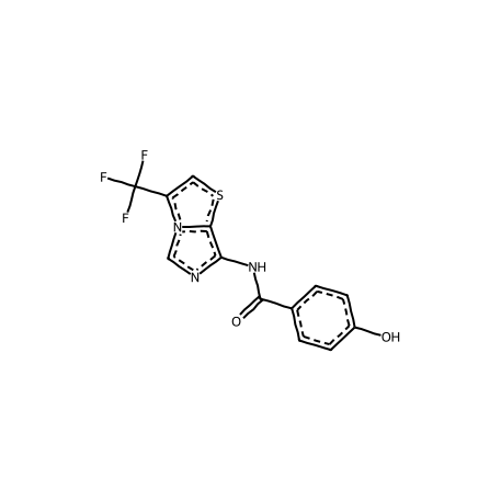 O=C(Nc1ncn2c(C(F)(F)F)csc12)c1ccc(O)cc1